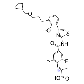 COc1c(CCCOCC2CCC2)cccc1-c1csc(NC(=O)c2cc(F)c(/C=C(\C)C(=O)O)c(F)c2)n1